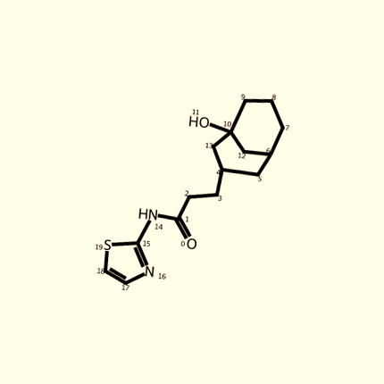 O=C(CCC1CC2CCCC(O)(C2)C1)Nc1nccs1